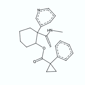 CNC(=S)C1(c2cccnc2)CCCCC1OC(=O)C1(c2ccccc2)CC1